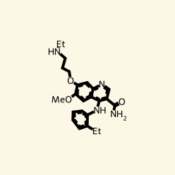 CCNCCCOc1cc2ncc(C(N)=O)c(Nc3ccccc3CC)c2cc1OC